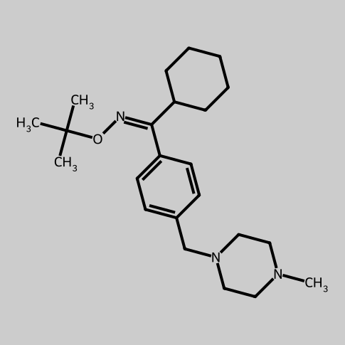 CN1CCN(Cc2ccc(/C(=N\OC(C)(C)C)C3CCCCC3)cc2)CC1